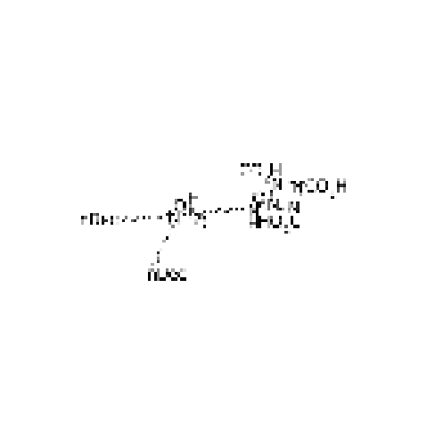 CCCCCCCCCCCCCCCCCCN(CCCCCCCCCCCCCCCCCC)C(=O)CNC(=O)CCCCCCCNC(=O)CN1CCN(CC(=O)O)CCN(CC(=O)O)CCN(CC(=O)O)CC1